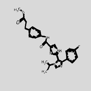 COC(=O)CCc1ccc(NC(=O)c2c[nH]c(-c3c(-c4ccc(F)cc4)ncn3C(C)C)n2)cc1